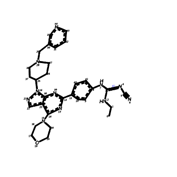 CCN/C(=N\C#N)Nc1ccc(-c2nc(N3CCOCC3)c3cnn(C4CCN(Cc5cccnc5)CC4)c3n2)cc1